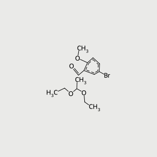 CCOC(C)OCC.COc1ccc(Br)cc1C=O